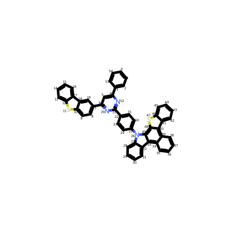 c1ccc(-c2cc(-c3ccc4sc5ccccc5c4c3)nc(-c3ccc(-n4c5ccccc5c5c6ccccc6c6c7ccccc7sc6c54)cc3)n2)cc1